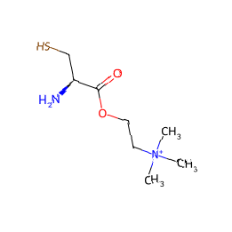 C[N+](C)(C)CCOC(=O)[C@@H](N)CS